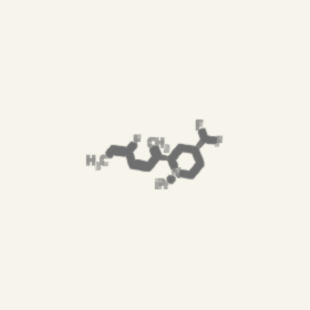 C=C(/C=C\C(F)=C/C)[C@H]1C[C@@H](C(F)F)CCN1C(C)C